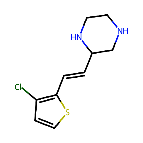 Clc1ccsc1C=CC1CNCCN1